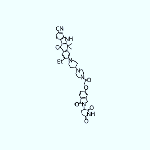 CCc1cc2c(cc1N1CCC(N3CCN(C(=O)COc4ccc5c(c4)CN(C4CCC(=O)NC4=O)C5=O)CC3)CC1)C(C)(C)c1[nH]c3cc(C#N)ccc3c1C2=O